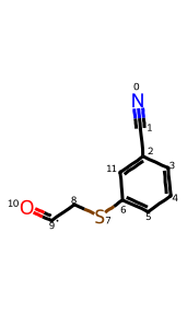 N#Cc1cccc(SC[C]=O)c1